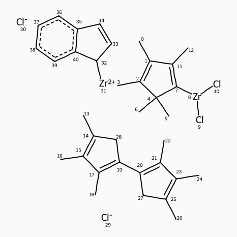 CC1=C(C)C(C)(C)[C]([Zr]([Cl])[Cl])=C1C.CC1=C(C)C(C)=C(C2=C(C)C(C)=C(C)C2)C1.[Cl-].[Cl-].[Zr+2][CH]1C=Cc2ccccc21